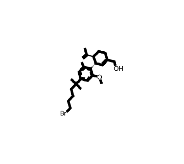 C=C(C)[C@H]1CCC(CO)=C[C@@H]1c1c(C)cc(C(C)(C)CCCCBr)cc1OC